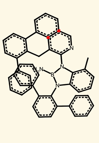 Cc1cccc2c1N(c1ncccc1Cc1c(-c3ccccc3)cccc1-c1ccccc1)B(N)N2c1c(-c2ccccc2)cccc1-c1ccccc1